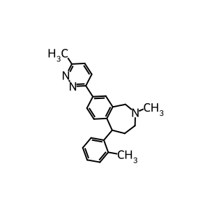 Cc1ccc(-c2ccc3c(c2)CN(C)CCC3c2ccccc2C)nn1